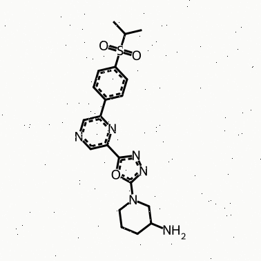 CC(C)S(=O)(=O)c1ccc(-c2cncc(-c3nnc(N4CCCC(N)C4)o3)n2)cc1